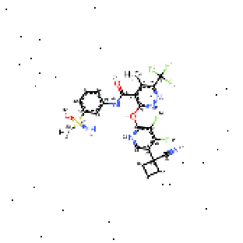 Cc1c(C(F)(F)F)nnc(Oc2ncc(C3(C#N)CCC3)c(F)c2F)c1C(=O)Nc1cccc(S(C)(=N)=O)c1